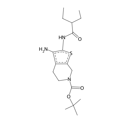 CCC(CC)C(=O)Nc1sc2c(c1N)CCN(C(=O)OC(C)(C)C)C2